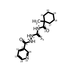 CC1(C(=O)NC(=S)NNC(=O)c2cccnc2)CCCCC1